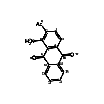 CC(=O)c1c[c]c2c(c1N)C(=O)c1ccccc1C2=O